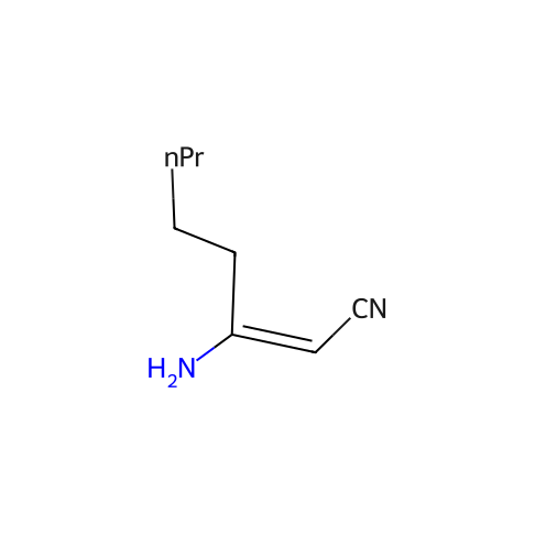 CCCCC/C(N)=C\C#N